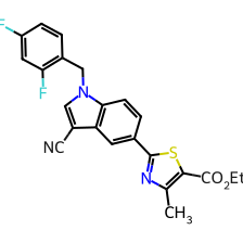 CCOC(=O)c1sc(-c2ccc3c(c2)c(C#N)cn3Cc2ccc(F)cc2F)nc1C